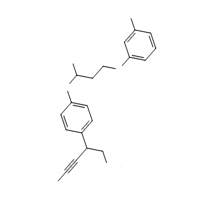 CC#CC(CC(=O)O)c1ccc(OC(C)CCOc2cccc(C(C)(C)C)c2)cc1